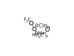 COc1ccc(-c2ccc(C(F)(F)F)cc2)c(O[C@H]2CC[C@H](Oc3cc(C(CC(=O)O)C4CC4)ccn3)CC2)c1